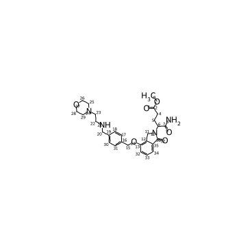 COC(=O)CCC(C(N)=O)N1Cc2c(OCc3ccc(CNCCN4CCOCC4)cc3)cccc2C1=O